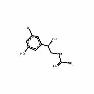 N=C(N)NC[C@H](O)c1cc(O)cc(Br)c1